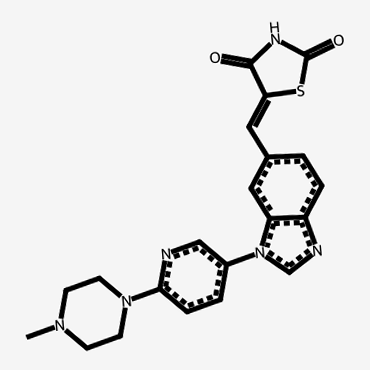 CN1CCN(c2ccc(-n3cnc4ccc(/C=C5\SC(=O)NC5=O)cc43)cn2)CC1